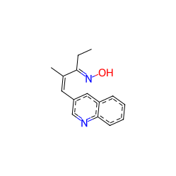 CCC(=NO)C(C)=Cc1cnc2ccccc2c1